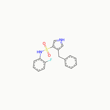 O=S(=O)(Nc1ccccc1F)c1c[nH]cc1Cc1ccccc1